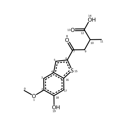 COc1cc2cc(C(=O)CC(C)C(=O)O)sc2cc1O